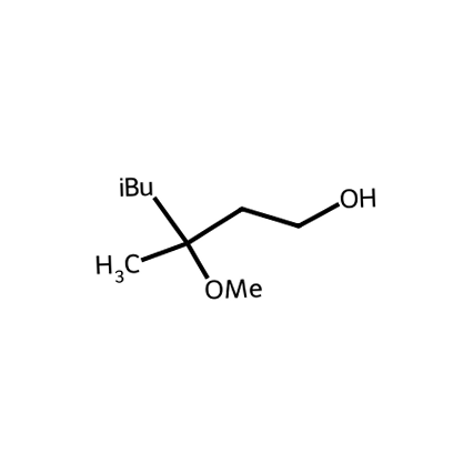 CCC(C)C(C)(CCO)OC